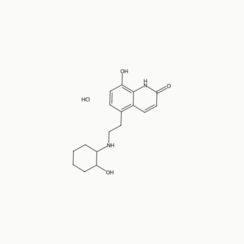 Cl.O=c1ccc2c(CCNC3CCCCC3O)ccc(O)c2[nH]1